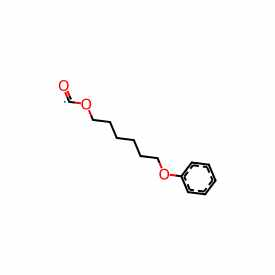 O=[C]OCCCCCCOc1ccccc1